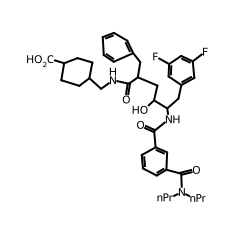 CCCN(CCC)C(=O)c1cccc(C(=O)NC(Cc2cc(F)cc(F)c2)C(O)CC(Cc2ccccc2)C(=O)NCC2CCC(C(=O)O)CC2)c1